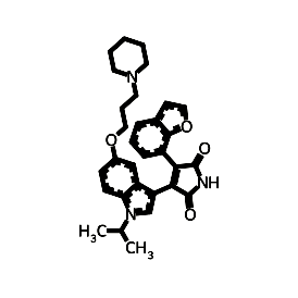 CC(C)n1cc(C2=C(c3cccc4ccoc34)C(=O)NC2=O)c2cc(OCCCN3CCCCC3)ccc21